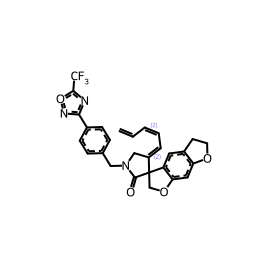 C=C/C=C\C=C1/CN(Cc2ccc(-c3noc(C(F)(F)F)n3)cc2)C(=O)C12COc1cc3c(cc12)CCO3